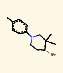 Cc1ccc(N2CC[C@@H](C(C)C)C(C)(C)C2)cc1